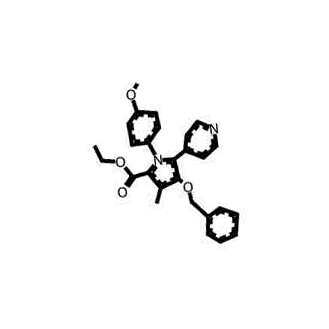 CCOC(=O)c1c(C)c(OCc2ccccc2)c(-c2ccncc2)n1-c1ccc(OC)cc1